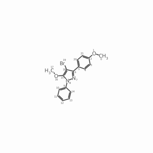 COc1ccc(-c2nn(-c3ccccc3)c(OC)c2Br)cc1